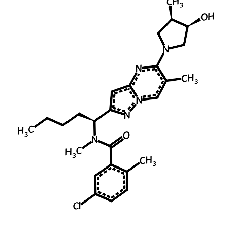 CCCC[C@@H](c1cc2nc(N3C[C@@H](C)[C@@H](O)C3)c(C)cn2n1)N(C)C(=O)c1cc(Cl)ccc1C